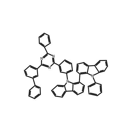 c1ccc(-c2cccc(-c3nc(-c4ccccc4)nc(-c4cccc(-n5c6ccccc6c6cccc(-c7cccc8c9ccccc9n(-c9ccccc9)c78)c65)c4)n3)c2)cc1